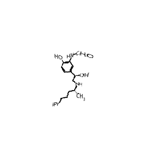 CC(C)CCC[C@@H](C)NC[C@H](O)c1ccc(O)c(NC=O)c1